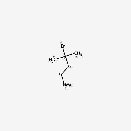 CNCCC(C)(C)Br